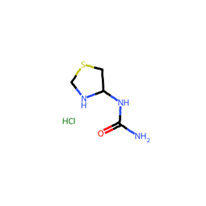 Cl.NC(=O)NC1CSCN1